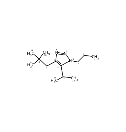 CCCn1nnc(CC(C)(C)C)c1C(C)C